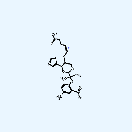 Cc1ccc(OC(C)(C)C2OCC(C/C=C\CCC(=O)O)C(c3cncs3)O2)c([N+](=O)[O-])c1